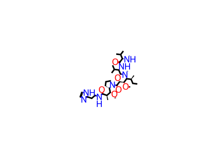 CC[C@H](C)[C@@H]([C@H](CC(=O)N1CCC[C@H]1[C@H](OC)[C@@H](C)C(=O)NCCc1ncc[nH]1)OC)N(C)C(=O)[C@@H](NC(=O)[C@@H](NC)C(C)C)C(C)C